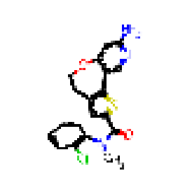 CN(C(=O)c1cc2c(s1)-c1cnc(N)cc1OCC2)C1=C(Cl)C=CCC1